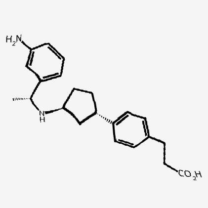 C[C@@H](N[C@H]1CC[C@H](c2ccc(CCC(=O)O)cc2)C1)c1cccc(N)c1